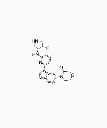 O=C1COCCN1c1cn2c(-c3cccc(N[C@H]4CNC[C@@H]4F)n3)cnc2cn1